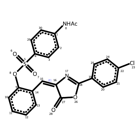 CC(=O)Nc1ccc(S(=O)(=O)Oc2ccccc2/C=C2/N=C(c3ccc(Cl)cc3)OC2=O)cc1